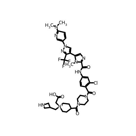 CN(C)c1ccc(-n2cc(-c3cnc(C(=O)Nc4ccc(C(=O)N5CCN(C(=O)C6CC[N+](CC(=O)O)(CC7CNC7)CC6)CC5)c(Cl)c4)n3C)c(C(F)(F)F)n2)cn1